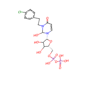 O=C1C=CN([C@@H]2O[C@H](COP(=O)(O)OP(=O)(O)O)C(O)C2O)C(O)N1CCc1ccc(Cl)cc1